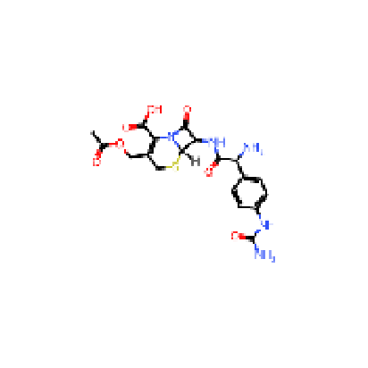 CC(=O)OCC1=C(C(=O)O)N2C(=O)C(NC(=O)C(N)c3ccc(NC(N)=O)cc3)[C@@H]2SC1